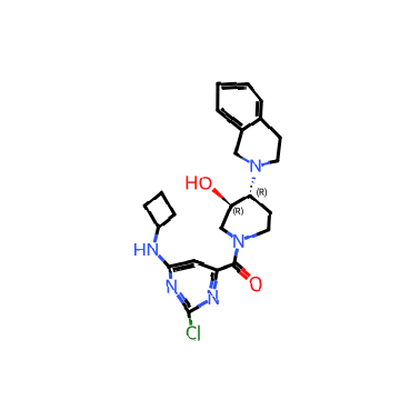 O=C(c1cc(NC2CCC2)nc(Cl)n1)N1CC[C@@H](N2CCc3ccccc3C2)[C@H](O)C1